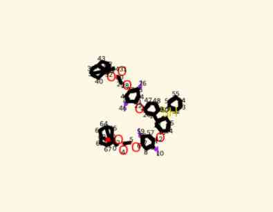 CC1(OC(=O)COc2cc(I)c(Oc3ccc4c(c3)-c3cc(Oc5cc(I)c(OCC(=O)OC6(C)C7CC8CC(C7)CC6C8)cc5I)ccc3[SH]4c3ccccc3)cc2I)C2CC3CC(C2)CC1C3